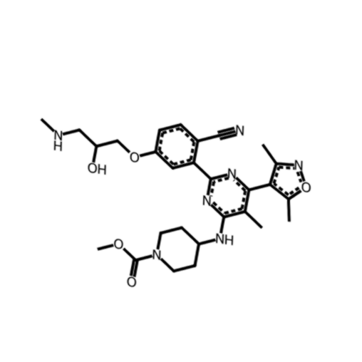 CNCC(O)COc1ccc(C#N)c(-c2nc(NC3CCN(C(=O)OC)CC3)c(C)c(-c3c(C)noc3C)n2)c1